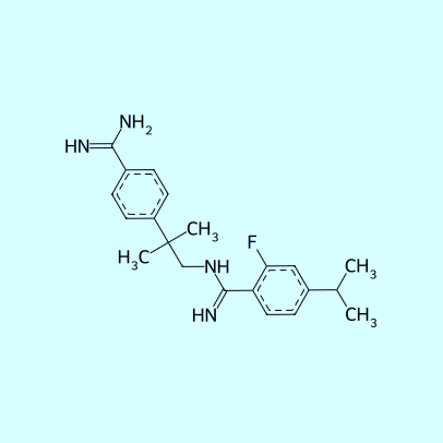 CC(C)c1ccc(C(=N)NCC(C)(C)c2ccc(C(=N)N)cc2)c(F)c1